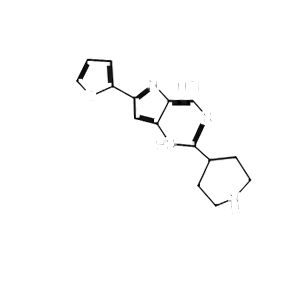 Cl.c1csc(-c2cc3[nH]c(C4CCNCC4)ncc-3n2)c1